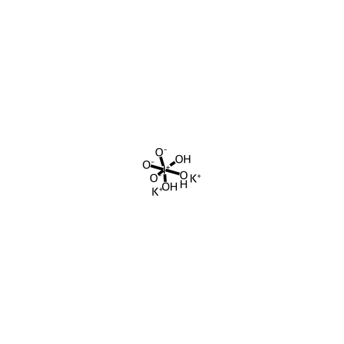 [K+].[K+].[O-][I+]([O-])([O-])(O)(O)O